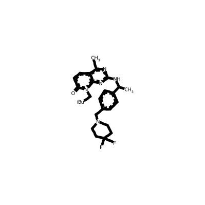 CCC(C)Cn1c(=O)ccc2c(C)nc(NC(C)c3ccc(CN4CCC(F)(F)CC4)cc3)nc21